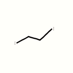 [C]CC[C]